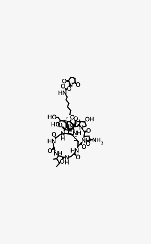 CCC(C)C1NC(=O)CNC(=O)C2Cc3c([nH]c4cc(OCCCCCCNC(=O)ON5C(=O)CCC5=O)ccc34)SCC(NC(=O)CNC1=O)C(=O)NC(CC(N)=O)C(=O)N1CC(O)C[C@H]1C(=O)N[C@@H]([C@@H](C)C(O)CO)C(=O)N2